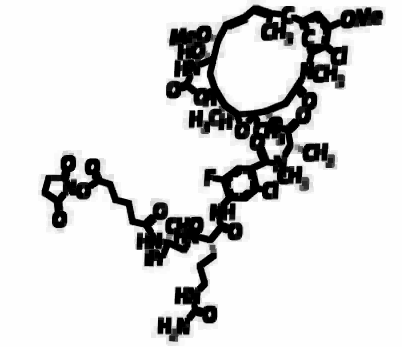 COc1cc2cc(c1Cl)N(C)C(=O)C[C@H](OC(=O)[C@H](C)N(C)C(=O)c1cc(F)c(NC(=O)[C@H](CCCNC(N)=O)NC[C@](C=O)(NC(=O)CCCCC(=O)ON3C(=O)CCC3=O)C(C)C)cc1Cl)[C@]1(C)O[C@H]1[C@H](C)[C@@H]1C[C@@](O)(NC(=O)O1)[C@H](OC)/C=C/C=C(\C)C2